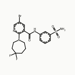 NS(=O)(=O)c1cccc(NC(=O)c2cc(Br)cnc2N2CCCC(F)(F)CC2)c1